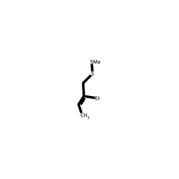 C/C=C(\CC)CSSC